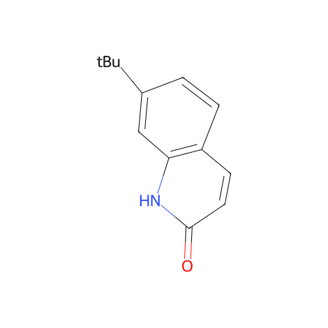 CC(C)(C)c1ccc2ccc(=O)[nH]c2c1